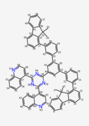 CC1(C)c2ccccc2-c2cccc(-c3cccc(-c4cc(-c5cccc(-c6cccc7c6C(C)(C)c6ccccc6-7)c5)cc(-c5nc(-c6ccnc7ccccc67)nc(-c6ccnc7ccccc67)n5)c4)c3)c21